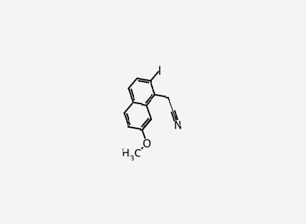 COc1ccc2ccc(I)c(CC#N)c2c1